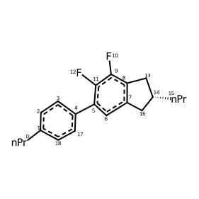 CCCc1ccc(-c2cc3c(c(F)c2F)C[C@H](CCC)C3)cc1